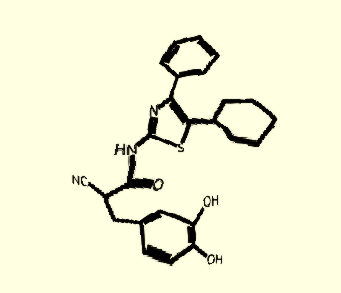 N#CC(Cc1ccc(O)c(O)c1)C(=O)Nc1nc(-c2ccccc2)c(C2CCCCC2)s1